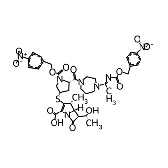 CC(=NC(=O)OCc1ccc([N+](=O)[O-])cc1)N1CCCN(C(=O)[C@@H]2C[C@H](SC3=C(C(=O)O)N4C(=O)[C@H]([C@@H](C)O)[C@H]4[C@H]3C)CN2C(=O)OCc2ccc([N+](=O)[O-])cc2)CC1